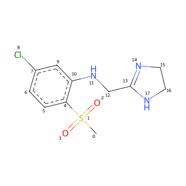 CS(=O)(=O)c1ccc(Cl)cc1NCC1=NCCN1